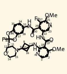 COc1ccnc(NC23CC(N4CCOCC4)(C2)C3)c1C(=O)Nc1cnc(OC)c(F)c1C(=O)Nc1ccc2c(c1)OC(F)(F)O2